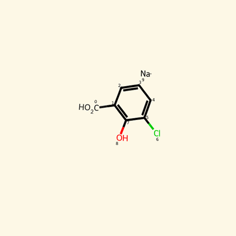 O=C(O)c1cccc(Cl)c1O.[Na]